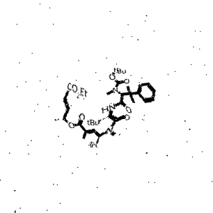 CCOC(=O)CC[C@@H](C)OC(=O)/C(C)=C/[C@H](C(C)C)N(C)C(=O)[C@@H](NC(=O)[C@@H](N(C)C(=O)OC(C)(C)C)C(C)(C)c1ccccc1)C(C)(C)C